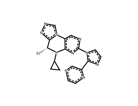 CC[C@@H]1c2nncn2-c2cnc(-n3ccnc3-c3cnccn3)nc2N1C1CC1